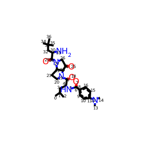 CC(C)CC(NC(=O)c1ccc(N(C)C)cc1)C(=O)N1CCC2C1C(=O)CN2C(=O)C(N)CC(C)(C)C